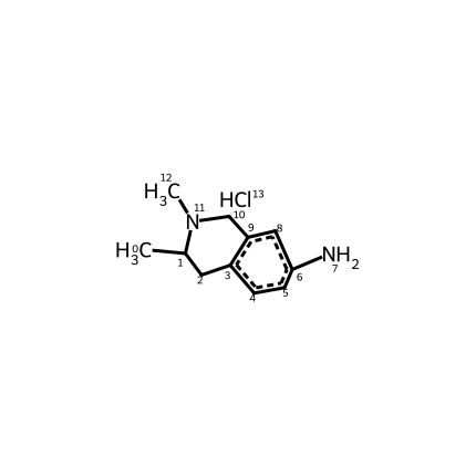 CC1Cc2ccc(N)cc2CN1C.Cl